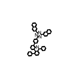 c1ccc(-c2nc3c(-c4ccc(-c5nc(-c6ccc7ccccc7c6)nc(-c6ccc7ccccc7c6)n5)cc4)cccc3c3c(-c4ccccc4)cccc23)cc1